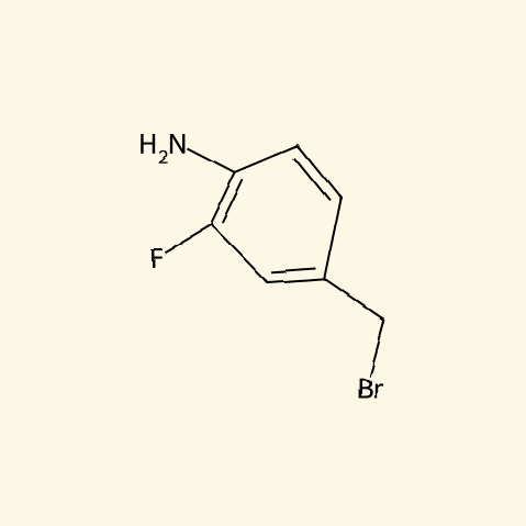 Nc1ccc(CBr)cc1F